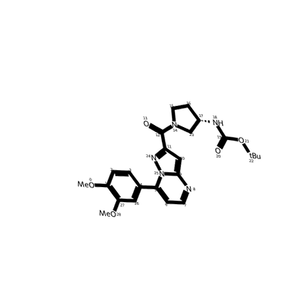 COc1ccc(-c2ccnc3cc(C(=O)N4CC[C@H](NC(=O)OC(C)(C)C)C4)nn23)cc1OC